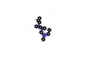 CC1(C)c2ccccc2-c2ccc(-n3c4ccccc4c4cc5c(cc43)c3ccccc3n5-c3cccc(-c4nc(-c5ccccc5)nc(-c5cccc(-c6ccccc6)c5)n4)c3)cc21